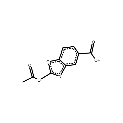 CC(=O)Oc1nc2cc(C(=O)O)ccc2o1